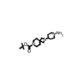 CC(C)(C)OC(=O)N1CCC2(CC1)CN(C1CCN(N)CC1)C2